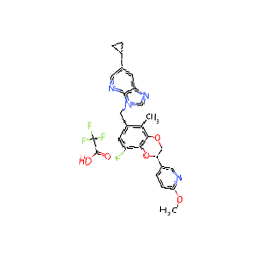 COc1ccc(C2COc3c(C)c(Cn4cnc5cc(C6CC6)cnc54)cc(F)c3O2)cn1.O=C(O)C(F)(F)F